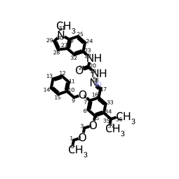 CCOCOc1cc(OCc2ccccc2)c(/C=N/NC(=O)Nc2ccc3c(ccn3C)c2)cc1C(C)C